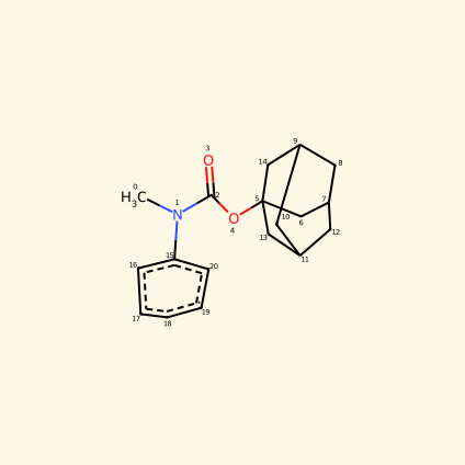 CN(C(=O)OC12CC3CC(CC(C3)C1)C2)c1ccccc1